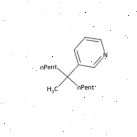 CCCCCC(C)(CCCCC)c1cccnc1